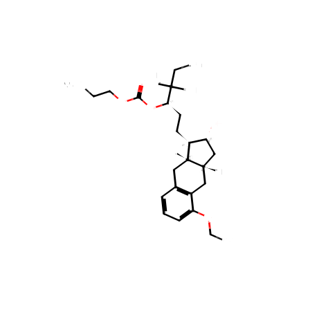 CCC(C)CC(C)(C)[C@@H](CC[C@@H]1[C@H]2Cc3cccc(OCC(=O)O)c3C[C@H]2C[C@H]1O)OC(=O)OCCOC